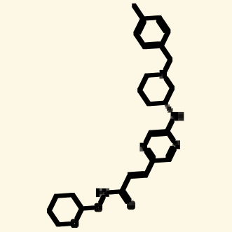 Cc1ccc(CN2CCC[C@@H](Nc3cnc(C=CC(=O)NOC4CCCCO4)cn3)C2)cc1